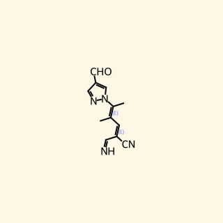 CC(/C=C(/C#N)C=N)=C(/C)n1cc(C=O)cn1